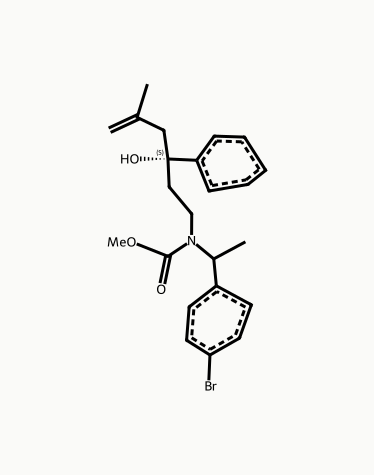 C=C(C)C[C@](O)(CCN(C(=O)OC)C(C)c1ccc(Br)cc1)c1ccccc1